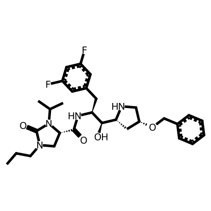 CCCN1C[C@@H](C(=O)N[C@@H](Cc2cc(F)cc(F)c2)[C@H](O)[C@H]2C[C@@H](OCc3ccccc3)CN2)N(C(C)C)C1=O